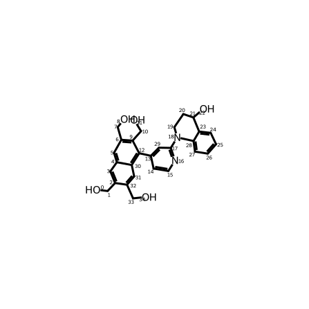 OCc1cc2cc(CO)c(CO)c(-c3ccnc(N4CCC(O)c5ccccc54)c3)c2cc1CO